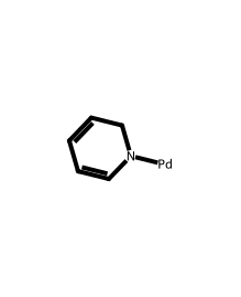 [Pd][N]1C=CC=CC1